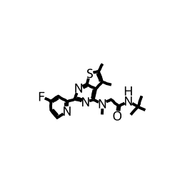 Cc1sc2nc(-c3cc(F)ccn3)nc(N(C)CC(=O)NC(C)(C)C)c2c1C